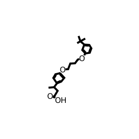 CC(CC(=O)O)c1ccc(OCCCCOc2cccc(C(C)(C)C)c2)cc1